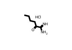 CCCCC(=O)C(=N)N.Cl